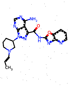 CC=CN1CCC[C@@H](n2nc(C(=O)Nc3nc4ncccc4o3)c3c(N)ncnc32)C1